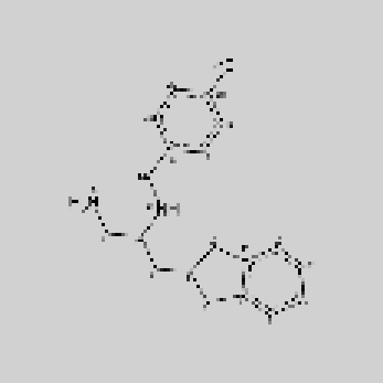 NCC(CC1Cc2ccccc2C1)NCc1ccc(Cl)cc1